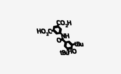 CC(C)(C)c1cc(C(=O)Nc2cc(C(=O)O)cc(C(=O)O)c2)cc(C(C)(C)C)c1O